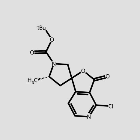 C[C@H]1CC2(CN1C(=O)OC(C)(C)C)OC(=O)c1c2ccnc1Cl